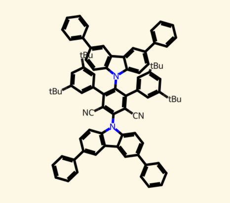 CC(C)(C)c1cc(-c2c(C#N)c(-n3c4ccc(-c5ccccc5)cc4c4cc(-c5ccccc5)ccc43)c(C#N)c(-c3cc(C(C)(C)C)cc(C(C)(C)C)c3)c2-n2c3ccc(-c4ccccc4)cc3c3cc(-c4ccccc4)ccc32)cc(C(C)(C)C)c1